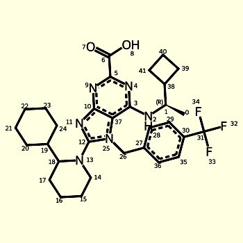 C[C@@H](Nc1nc(C(=O)O)nc2nc(N3CCCCC3C3CCCCC3)n(Cc3ccc(C(F)(F)F)cc3)c12)C1CCC1